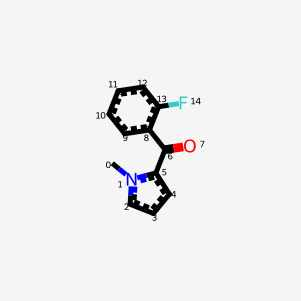 Cn1cccc1C(=O)c1ccccc1F